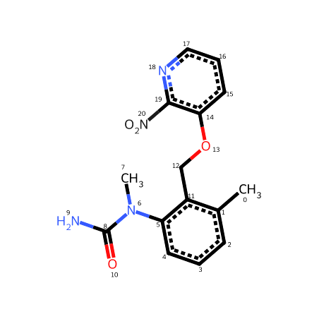 Cc1cccc(N(C)C(N)=O)c1COc1cccnc1[N+](=O)[O-]